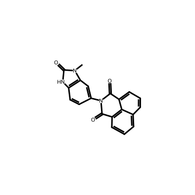 Cn1c(=O)[nH]c2ccc(N3C(=O)c4cccc5cccc(c45)C3=O)cc21